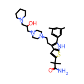 Cc1cc(C)cc(-c2[nH]c3sc(C(C)(C)C(N)=O)cc3c2CCN2CCN(CC(O)CN3CCCCC3)CC2)c1